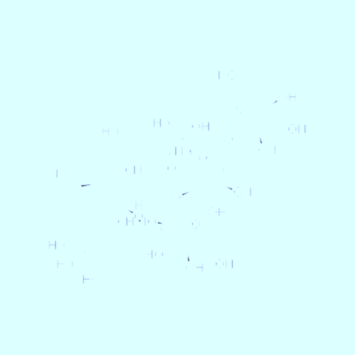 CC[C@@]12CCC([C@H](C)CC[C@@H](O[C@@H]3O[C@H](CO[C@@H]4O[C@H](CO)[C@@H](O)[C@H](O)[C@H]4O)[C@@H](O)[C@H](O)[C@H]3O[C@@H]3O[C@H](CO)[C@@H](O)[C@H](O)[C@H]3O)C(C)(C)O)[C@@]1(C)C[C@@H](O)[C@@]1(C)C3CC[C@H](O)C(C)(C)C3=CCC12